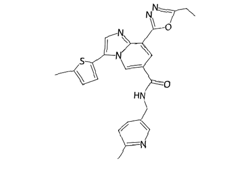 CCc1nnc(-c2cc(C(=O)NCc3ccc(C)nc3)cn3c(-c4ccc(C)s4)cnc23)o1